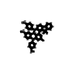 Cc1cc2c3c(c1)N(c1ccc(C(C)(C)C)cc1)c1ccc(C(C)(C)C)cc1B3N(c1ccc(C(C)(C)C)cc1)c1ccc3c(c1-2)C(C)(C)c1ccccc1-3